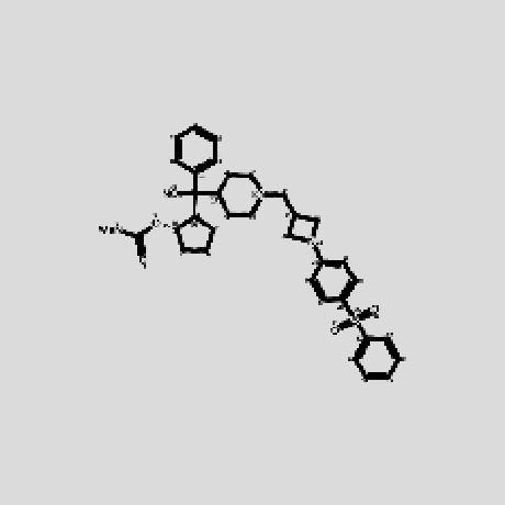 CNC(=O)O[C@H]1CCC[C@@H]1C(C#N)(c1ccccc1)C1CCN(CC2CN(c3ccc(S(=O)(=O)c4ccccc4)cc3)C2)CC1